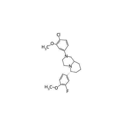 COc1ccc([C@H]2CCCC3CN(c4ccc(Cl)c(OC)c4)CCN32)cc1F